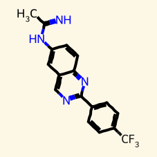 CC(=N)Nc1ccc2nc(-c3ccc(C(F)(F)F)cc3)ncc2c1